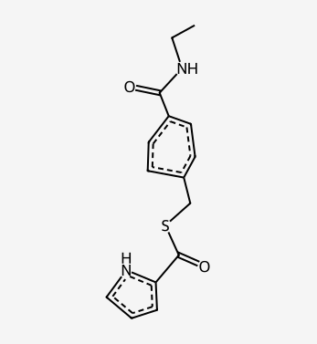 CCNC(=O)c1ccc(CSC(=O)c2ccc[nH]2)cc1